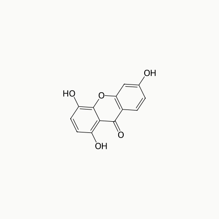 O=c1c2ccc(O)cc2oc2c(O)ccc(O)c12